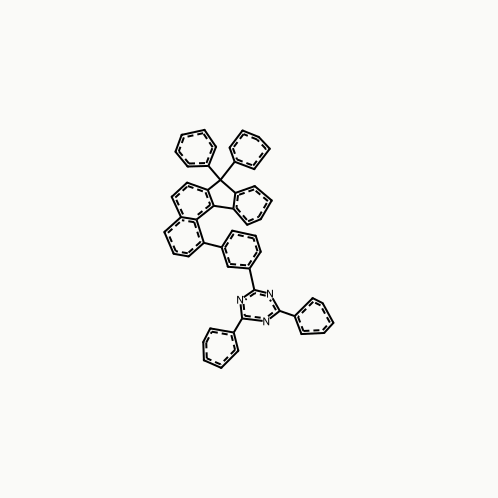 c1ccc(-c2nc(-c3ccccc3)nc(-c3cccc(-c4cccc5ccc6c(c45)-c4ccccc4C6(c4ccccc4)c4ccccc4)c3)n2)cc1